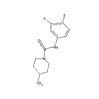 CC1CCN(C(=O)Nc2ccc(F)c(F)c2)CC1